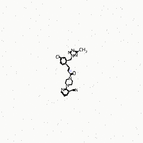 Cc1nnn(Cc2cc(Cl)ccc2/C=C/C(=O)N2CCN(c3ncccc3C#N)CC2)n1